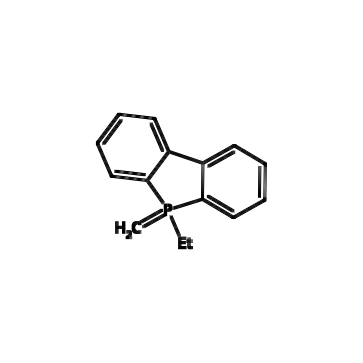 C=P1(CC)c2ccccc2-c2ccccc21